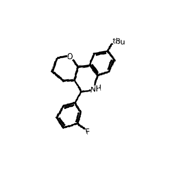 CC(C)(C)c1ccc2c(c1)C1OCCCC1C(c1cccc(F)c1)N2